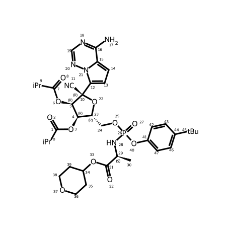 CC(C)C(=O)O[C@H]1[C@@H](OC(=O)C(C)C)[C@](C#N)(c2ccc3c(N)ncnn23)O[C@@H]1COP(=O)(N[C@@H](C)C(=O)OC1CCOCC1)Oc1ccc(C(C)(C)C)cc1